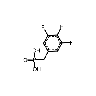 O=P(O)(O)Cc1cc(F)c(F)c(F)c1